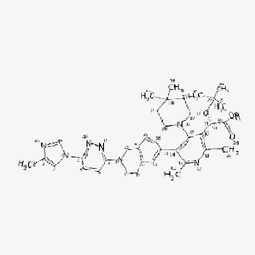 Cc1cn(-c2ccc(N3CCc4cc(-c5c(C)nc(C)c([C@H](OC(C)(C)C)C(=O)O)c5N5CCC(C)(C)CC5)ccc4C3)nn2)cn1